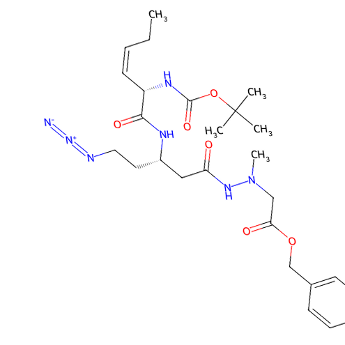 CC/C=C\[C@H](NC(=O)OC(C)(C)C)C(=O)N[C@@H](CCN=[N+]=[N-])CC(=O)NN(C)CC(=O)OCc1ccccc1